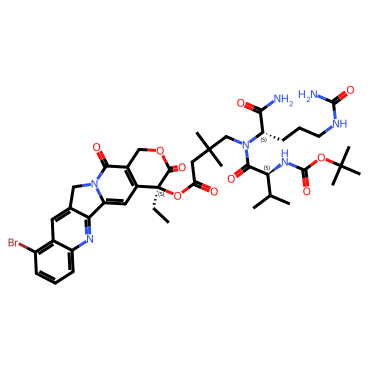 CC[C@@]1(OC(=O)CC(C)(C)CN(C(=O)[C@@H](NC(=O)OC(C)(C)C)C(C)C)[C@@H](CCCNC(N)=O)C(N)=O)C(=O)OCc2c1cc1n(c2=O)Cc2cc3c(Br)cccc3nc2-1